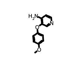 COc1ccc(Oc2cnccc2N)cc1